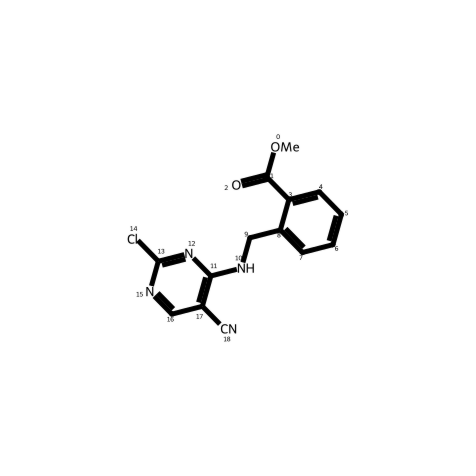 COC(=O)c1ccccc1CNc1nc(Cl)ncc1C#N